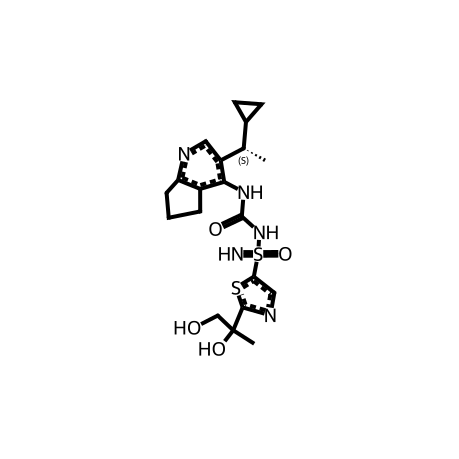 C[C@H](c1cnc2c(c1NC(=O)NS(=N)(=O)c1cnc(C(C)(O)CO)s1)CCC2)C1CC1